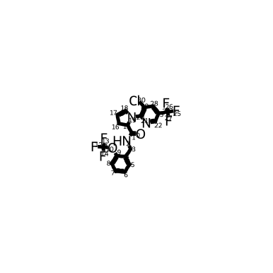 O=C(NCc1ccccc1OC(F)(F)F)C1CC=CN1c1ncc(C(F)(F)F)cc1Cl